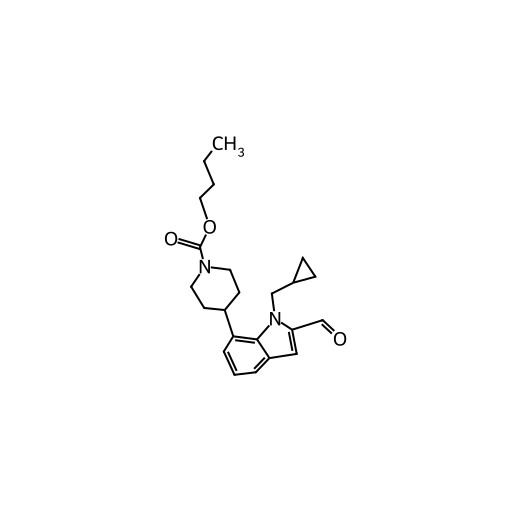 CCCCOC(=O)N1CCC(c2cccc3cc(C=O)n(CC4CC4)c23)CC1